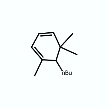 CCCCC1C(C)=CC=CC1(C)C